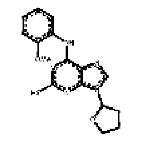 COc1ccccc1Nc1nc(S)nc2c1ncn2C1CCCO1